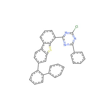 Clc1nc(-c2ccccc2)nc(-c2cccc3c2sc2cc(-c4ccccc4-c4ccccc4)ccc23)n1